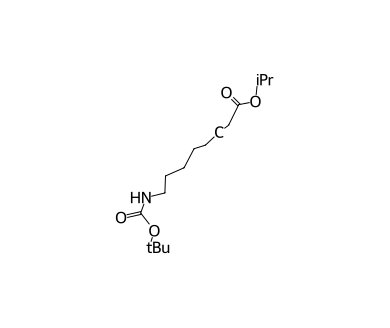 CC(C)OC(=O)CCCCCCCNC(=O)OC(C)(C)C